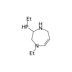 CCPC1CN(CC)C=CCN1